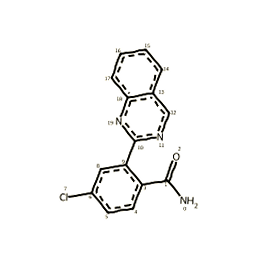 NC(=O)c1ccc(Cl)cc1-c1ncc2ccccc2n1